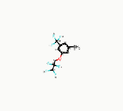 Bc1cc(OCC(F)(F)C(F)F)cc(C(F)(F)F)c1